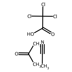 CC#N.CC(C)=O.O=C(O)C(Cl)(Cl)Cl